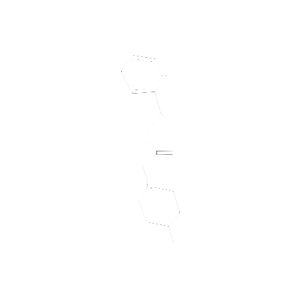 O=C(CN1CCC(O)CC1)OCc1ccccc1